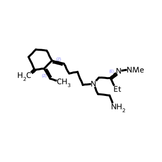 C=C1CCCC(=C/CCCN(CCN)C/C(CC)=N/NC)/C1=C\C